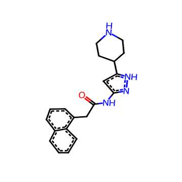 O=C(Cc1cccc2ccccc12)Nc1cc(C2CCNCC2)[nH]n1